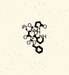 CC(C)C[C@H](NC(=O)[C@@H]1CCC(=O)N1)C(=O)N(C(=O)OCc1ccccc1)C(=O)C1CCCCN1